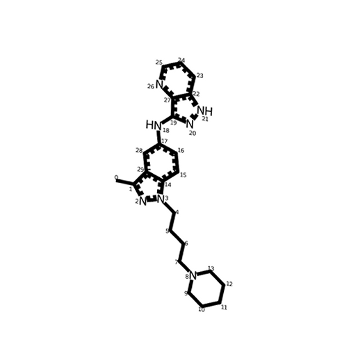 Cc1nn(CCCCN2CCCCC2)c2ccc(Nc3n[nH]c4cccnc34)cc12